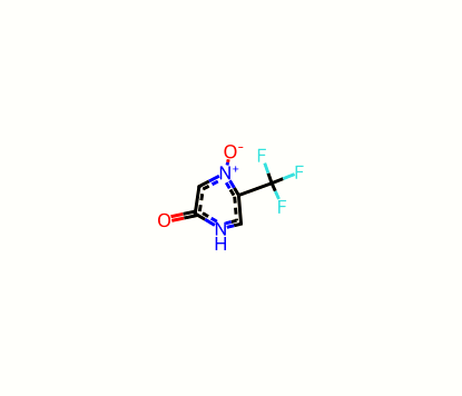 O=c1c[n+]([O-])c(C(F)(F)F)c[nH]1